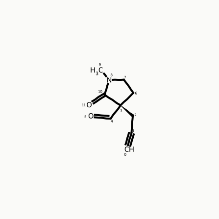 C#CC[C@]1(C=O)CCN(C)C1=O